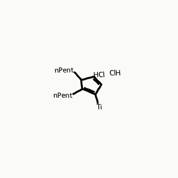 CCCCCC1=[C]([Ti])C=CC1CCCCC.Cl.Cl